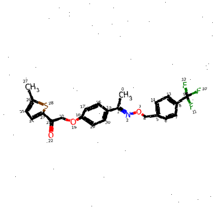 C/C(=N\OCc1ccc(C(F)(F)F)cc1)c1ccc(OCC(=O)c2ccc(C)s2)cc1